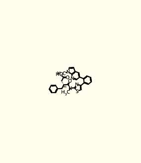 CN(C(=O)[C@@H](CC(=O)O)Cc1ccccc1)c1nc(-c2ccccc2-c2cnc3c(ccn3C)c2)cs1